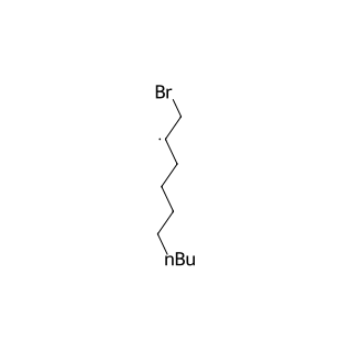 CCCCCCCC[CH]CBr